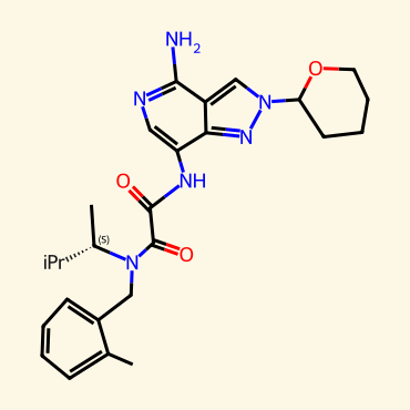 Cc1ccccc1CN(C(=O)C(=O)Nc1cnc(N)c2cn(C3CCCCO3)nc12)[C@@H](C)C(C)C